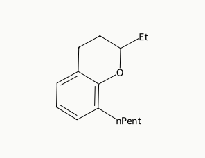 CCCCCc1cccc2c1OC(CC)CC2